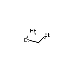 CCCCC.F